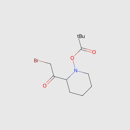 CC(C)(C)C(=O)ON1CCCCC1C(=O)CBr